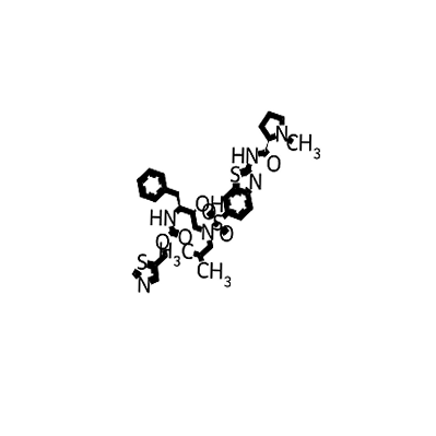 CC(C)CN(C[C@@H](O)[C@H](Cc1ccccc1)NC(=O)OCc1cncs1)S(=O)(=O)c1ccc2nc(NC(=O)[C@@H]3CCCN3C)sc2c1